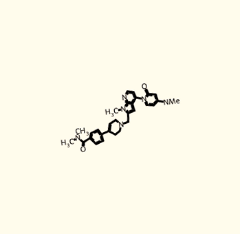 CNc1ccn(-c2ccnc3c2cc(CN2CC=C(c4ccc(C(=O)N(C)C)cc4)CC2)n3C)c(=O)c1